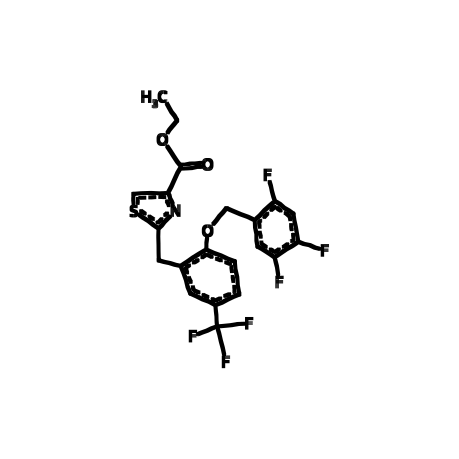 CCOC(=O)c1csc(Cc2cc(C(F)(F)F)ccc2OCc2cc(F)c(F)cc2F)n1